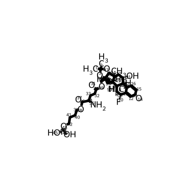 CC1(C)O[C@@H]2C[C@H]3[C@@H]4C[C@H](F)C5=CC(=O)C=C[C@]5(C)[C@H]4[C@@H](O)C[C@]3(C)[C@]2(C(=O)COC(=O)CCC(N)C(=O)OCCCCON(O)O)O1